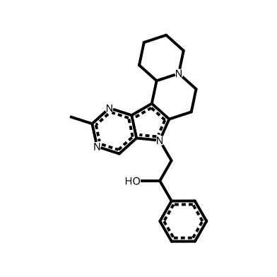 Cc1ncc2c(n1)c1c(n2CC(O)c2ccccc2)CCN2CCCCC12